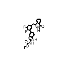 CCOC(=O)Nc1nc2cc(-c3cc(Cc4n[nH]c(=O)c5ccccc45)cc(F)c3F)ccc2[nH]1